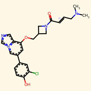 CN(C)C/C=C/C(=O)N1CC(COc2cc(-c3ccc(O)c(Cl)c3)cn3cncc23)C1